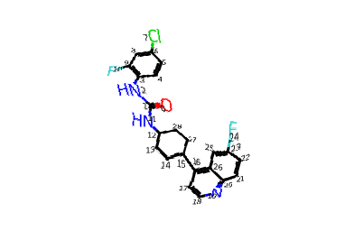 O=C(Nc1ccc(Cl)cc1F)NC1CCC(c2ccnc3ccc(F)cc23)CC1